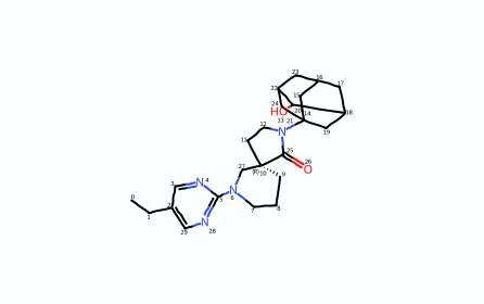 CCc1cnc(N2CCC[C@@]3(CCN(C45CC6CC(C4)C(O)C(C6)C5)C3=O)C2)nc1